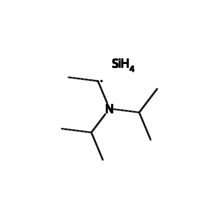 C[CH]N(C(C)C)C(C)C.[SiH4]